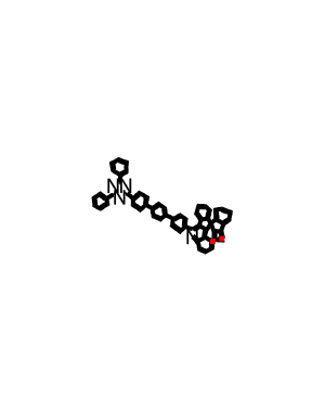 c1ccc(-c2nc(-c3ccccc3)nc(-c3ccc(-c4ccc(-c5ccc(-c6nc7ccccc7c7c6-c6ccccc6C76c7ccccc7-c7ccccc76)cc5)cc4)cc3)n2)cc1